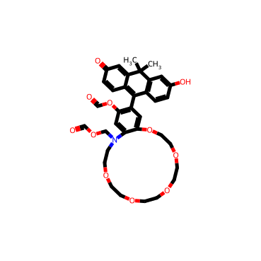 CC1(C)C2=CC(=O)C=CC2=C(c2cc3c(cc2OC=O)N(COC=O)CCOCCOCCOCCOCCO3)c2ccc(O)cc21